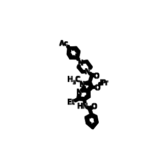 CCc1nc2c(cc1NC(=O)c1ccccc1)c(OC(C)C)c(C(=O)N1CCN(c3ccc(C(C)=O)cc3)CC1)n2C